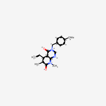 C=Cc1c(C)c(=O)n(C)c2ncn(Cc3ccc(OC)cc3)c(=O)c12